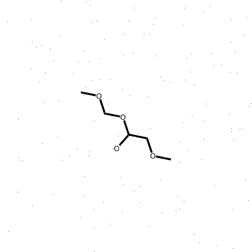 COCOC([O])COC